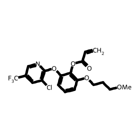 C=CC(=O)Oc1c(OCCCOC)cccc1Oc1ncc(C(F)(F)F)cc1Cl